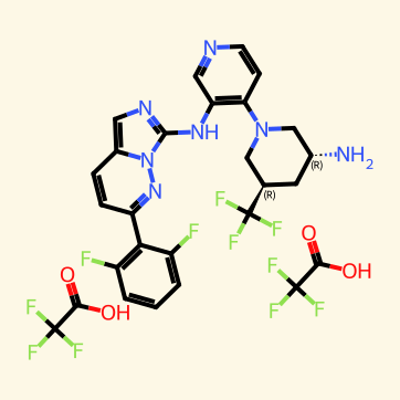 N[C@@H]1C[C@@H](C(F)(F)F)CN(c2ccncc2Nc2ncc3ccc(-c4c(F)cccc4F)nn23)C1.O=C(O)C(F)(F)F.O=C(O)C(F)(F)F